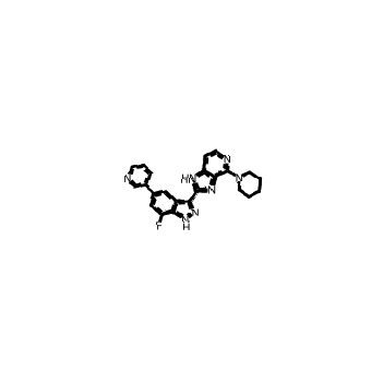 Fc1cc(-c2cccnc2)cc2c(-c3nc4c(N5CCCCC5)nccc4[nH]3)n[nH]c12